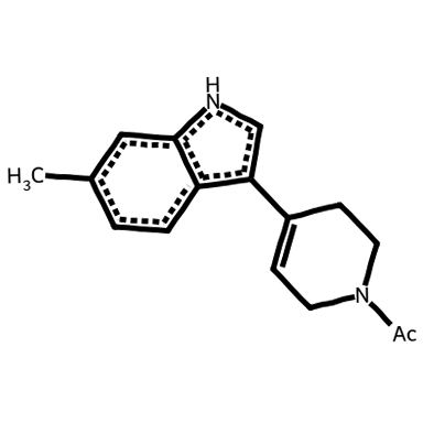 CC(=O)N1CC=C(c2c[nH]c3cc(C)ccc23)CC1